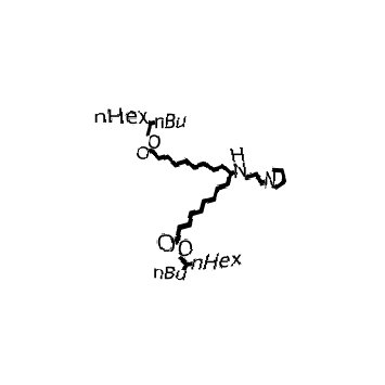 CCCCCCC(CCCC)COC(=O)CCCCCCCCC(CCCCCCCCC(=O)OCC(CCCC)CCCCCC)NCCCN1CCCC1